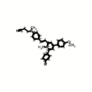 COc1ccc(-c2cc(/C=C/c3ccc(N(C)CCC#N)cc3)[n+](C)c(-c3ccc(Br)cc3)c2)cc1